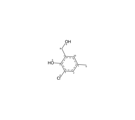 Cc1cc(Cl)c(O)c(CO)c1